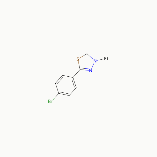 CCN1CSC(c2ccc(Br)cc2)=N1